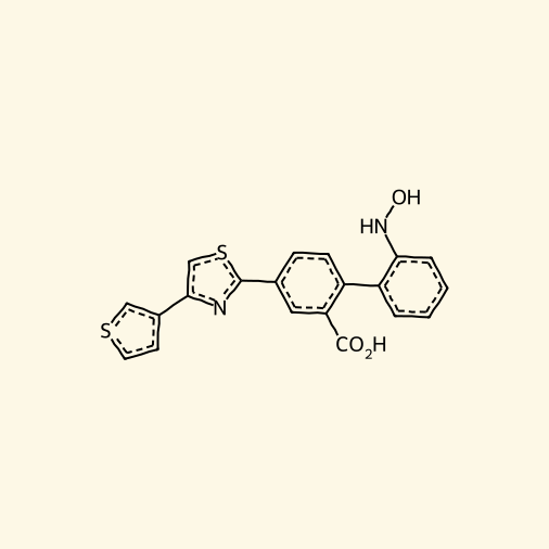 O=C(O)c1cc(-c2nc(-c3ccsc3)cs2)ccc1-c1ccccc1NO